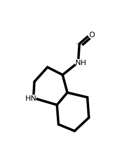 O=[C]NC1CCNC2CCCCC12